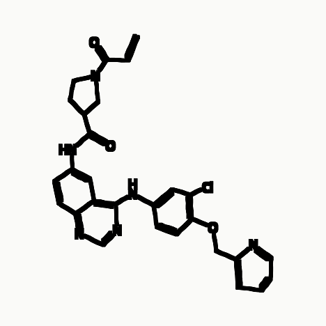 C=CC(=O)N1CCC(C(=O)Nc2ccc3ncnc(Nc4ccc(OCc5ccccn5)c(Cl)c4)c3c2)C1